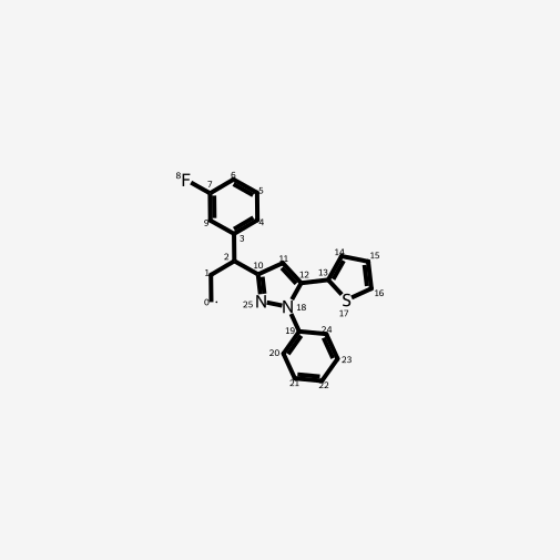 [CH2]CC(c1cccc(F)c1)c1cc(-c2cccs2)n(-c2ccccc2)n1